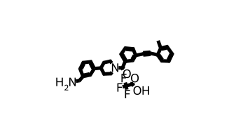 Cc1ccccc1C#Cc1cccc(C(=O)N2CCC(c3cccc(CN)c3)CC2)c1.O=C(O)C(F)(F)F